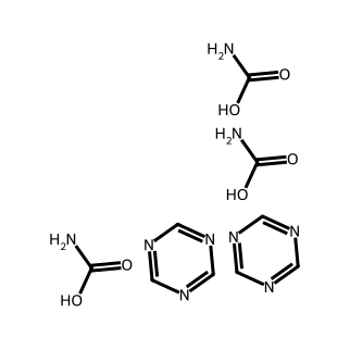 NC(=O)O.NC(=O)O.NC(=O)O.c1ncncn1.c1ncncn1